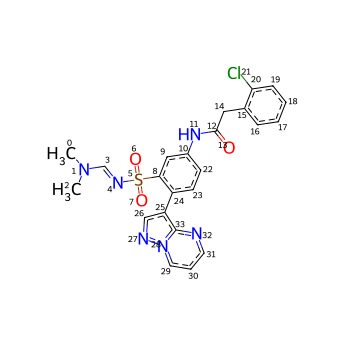 CN(C)C=NS(=O)(=O)c1cc(NC(=O)Cc2ccccc2Cl)ccc1-c1cnn2cccnc12